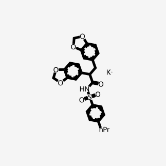 CCCc1ccc(S(=O)(=O)NC(=O)C(Cc2ccc3c(c2)OCO3)c2ccc3c(c2)OCO3)cc1.[K]